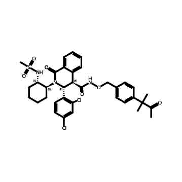 CC(=O)C(C)(C)c1ccc(CONC(=O)[C@@H]2c3ccccc3C(=O)N([C@H]3CCCC[C@@H]3NS(C)(=O)=O)[C@H]2c2ccc(Cl)cc2Cl)cc1